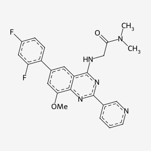 COc1cc(-c2ccc(F)cc2F)cc2c(NCC(=O)N(C)C)nc(-c3cccnc3)nc12